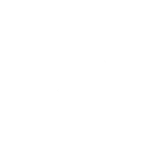 Fc1c(-c2ccccc2)ccc(Cl)c1Cl